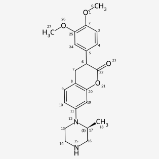 COc1ccc(C2Cc3ccc(N4CCNC[C@@H]4C)cc3OC2=O)cc1OC